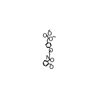 CCOC(=O)C(Cc1ccc(OCC=NC(=O)c2ccccc2C=O)cc1)OCC